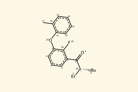 CCCC[C@H](CC)C(=O)c1cccc(Oc2ccccc2C)c1F